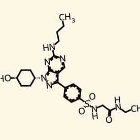 CCCCNc1ncc2c(-c3ccc(S(=O)(=O)NCC(=O)NCC)cc3)nn([C@H]3CC[C@H](O)CC3)c2n1